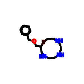 c1ccc(COCC2CNCCNCCNCCS2)cc1